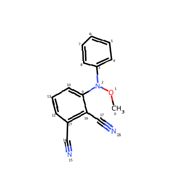 CON(c1ccccc1)c1cccc(C#N)c1C#N